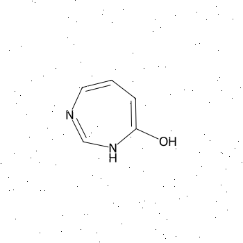 OC1=CC=CN=CN1